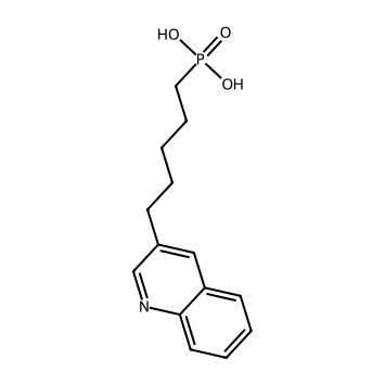 O=P(O)(O)CCCCCc1cnc2ccccc2c1